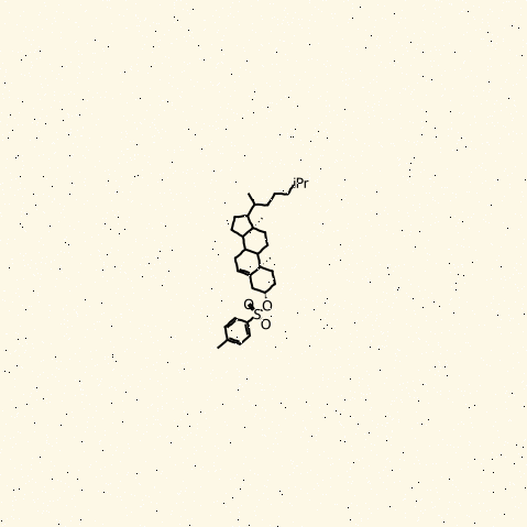 Cc1ccc(S(=O)(=O)O[C@H]2CC[C@@]3(C)C(=CCC4C5CCC(C(C)CCCC(C)C)[C@@]5(C)CCC43)C2)cc1